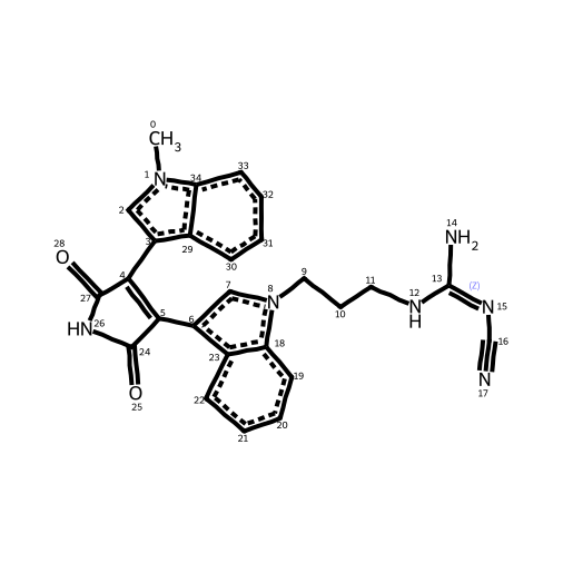 Cn1cc(C2=C(c3cn(CCCN/C(N)=N\C#N)c4ccccc34)C(=O)NC2=O)c2ccccc21